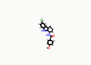 COc1ccc(C(=O)NC2CCCc3c2[nH]c2ccc(Cl)cc32)cc1